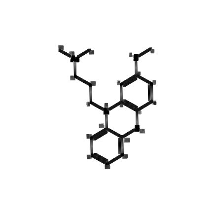 CSc1ccc2c(c1)N(CCC[As](C)C)c1ccccc1S2